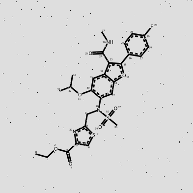 CCOC(=O)c1csc(CN(c2cc3oc(-c4ccc(F)cc4)c(C(=O)NC)c3cc2OC(C)C)S(C)(=O)=O)n1